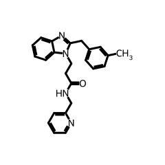 Cc1cccc(Cc2nc3ccccc3n2CCC(=O)NCc2ccccn2)c1